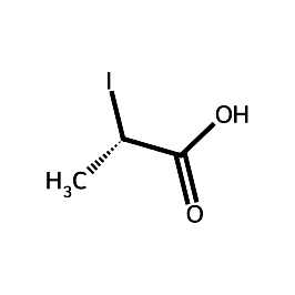 C[C@H](I)C(=O)O